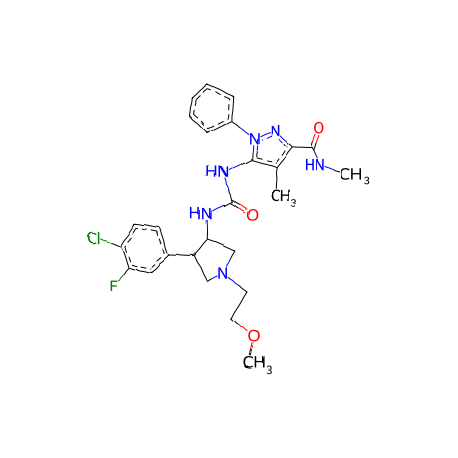 CNC(=O)c1nn(-c2ccccc2)c(NC(=O)NC2CN(CCOC)CC2c2ccc(Cl)c(F)c2)c1C